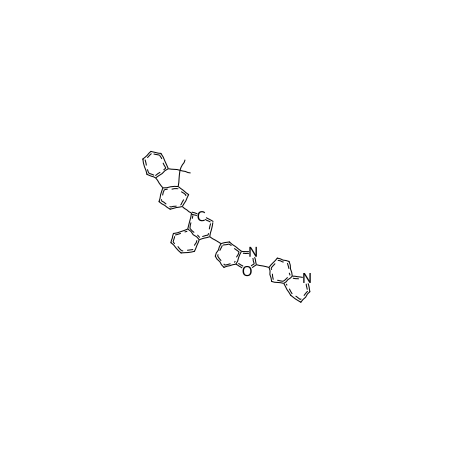 CC1(C)c2ccccc2-c2ccc(-c3ccc(-c4ccc5oc(-c6ccc7ncccc7c6)nc5c4)c4ccccc34)cc21